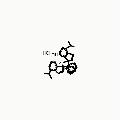 CC(C)c1cccc2c1C=C[C]2([Zr][C]1(c2ccccn2)C=Cc2c(C(C)C)cccc21)c1ccccn1.Cl.Cl